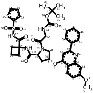 COc1ccc2c(O[C@@H]3C[C@@H](C(=O)NC4(C(=O)NS(=O)(=O)c5cccs5)CCC4)N(C(=O)CNC(=O)OC(C)(C)C)C3)cc(-c3ccccc3)nc2c1